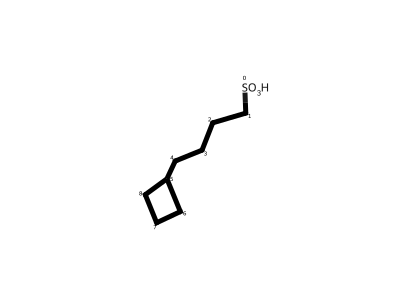 O=S(=O)(O)CCCCC1CCC1